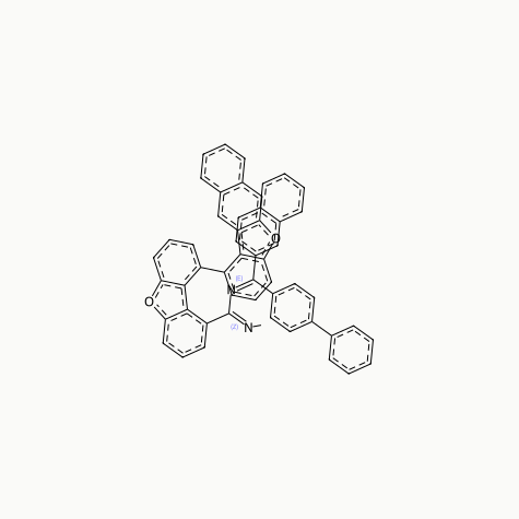 C/N=C(\N=C(/c1ccc(-c2ccccc2)cc1)c1ccc2ccccc2c1)c1cccc2oc3cccc(-c4cccc5oc6cc7ccccc7cc6c45)c3c12